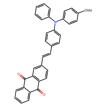 COc1ccc(N(c2ccccc2)c2ccc(C=Cc3ccc4c(c3)C(=O)c3ccccc3C4=O)cc2)cc1